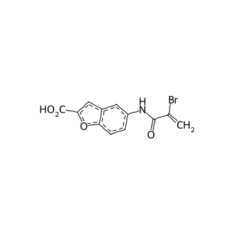 C=C(Br)C(=O)Nc1ccc2oc(C(=O)O)cc2c1